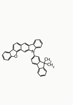 CC1(C)c2ccccc2-c2ccc(-n3c4ccccc4c4cc5ccc6c7ccccc7oc6c5cc43)cc21